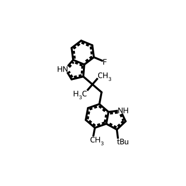 Cc1ccc(CC(C)(C)c2c[nH]c3cccc(F)c23)c2[nH]cc(C(C)(C)C)c12